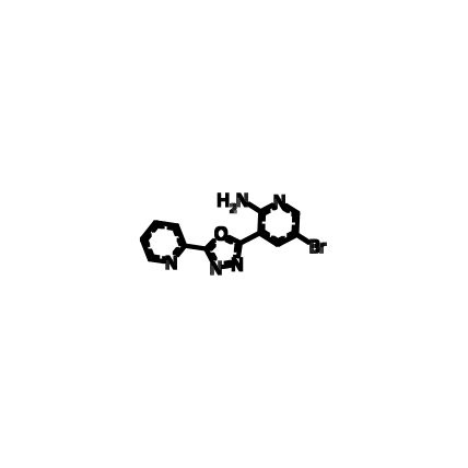 Nc1ncc(Br)cc1-c1nnc(-c2ccccn2)o1